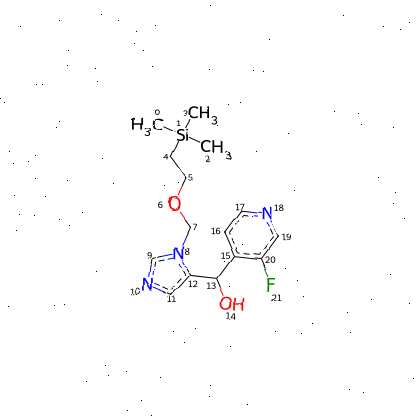 C[Si](C)(C)CCOCn1cncc1C(O)c1ccncc1F